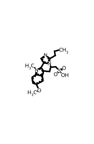 CCCc1ncc2n1C(CS(=O)(=O)O)Cc1c-2n(C)c2ccc(OC)cc12